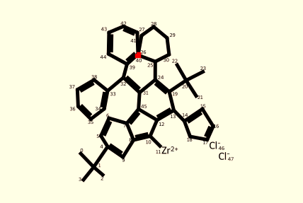 CC(C)(C)c1ccc2c(c1)=[C]([Zr+2])c1c(C3=CC=CC3)c(C(C)(C)C)c(C3CCCCC3)c(=C(c3ccccc3)c3ccccc3)c1=2.[Cl-].[Cl-]